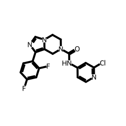 O=C(Nc1ccnc(Cl)c1)N1CCn2cnc(-c3ccc(F)cc3F)c2C1